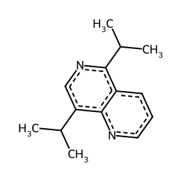 CC(C)c1ncc(C(C)C)c2ncccc12